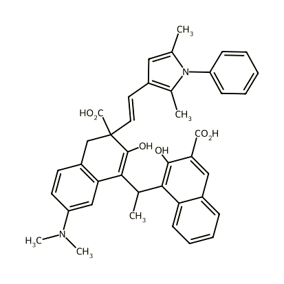 Cc1cc(C=CC2(C(=O)O)Cc3ccc(N(C)C)cc3C(C(C)c3c(O)c(C(=O)O)cc4ccccc34)=C2O)c(C)n1-c1ccccc1